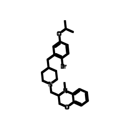 CC(C)Oc1ccc(Br)c(CC2CCN(CC3COc4ccccc4N3C)CC2)c1